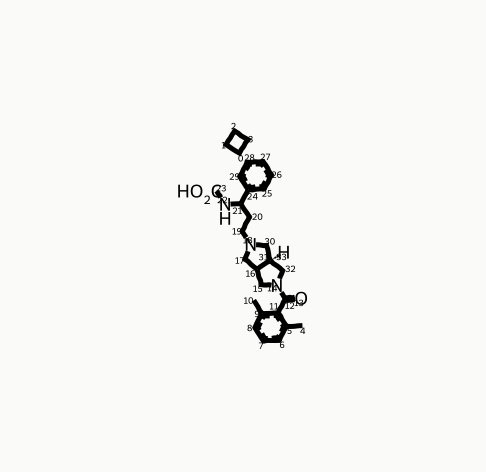 C1CCC1.Cc1cccc(C)c1C(=O)N1CC2CN(CCC(NC(=O)O)c3ccccc3)C[C@H]2C1